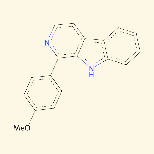 COc1ccc(-c2nccc3c2[nH]c2ccccc23)cc1